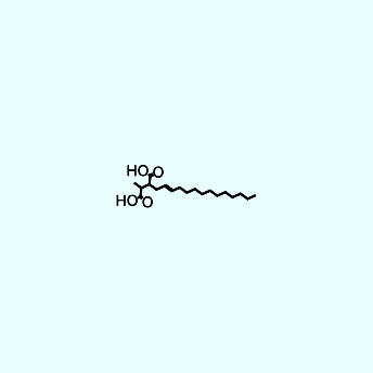 CCCCCCCCCCCC=CCC(C(=O)O)C(C)C(=O)O